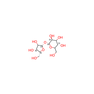 OCC1O[C@H](O[C@@H]2O[C@H](CO)[C@H](O)C2O)[C@@H](O)C(O)[C@@H]1O